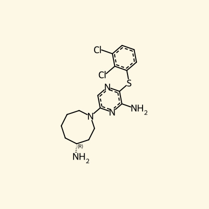 Nc1nc(N2CCCC[C@@H](N)CC2)cnc1Sc1cccc(Cl)c1Cl